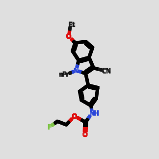 CCCn1c(-c2ccc(NC(=O)OCCF)cc2)c(C#N)c2ccc(OCC)cc21